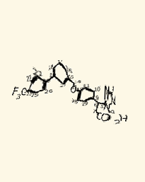 Cn1ncnc1C(CC(=O)O)c1ccc(OCc2cccc(-c3ccc(C(F)(F)F)cc3)c2)cc1